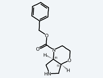 O=C(OCc1ccccc1)N1CCO[C@H]2CNC[C@H]21